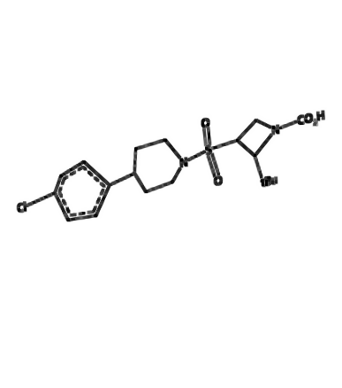 CC(C)(C)C1C(S(=O)(=O)N2CCC(c3ccc(Cl)cc3)CC2)CN1C(=O)O